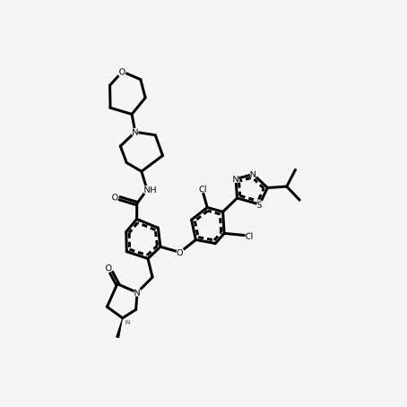 CC(C)c1nnc(-c2c(Cl)cc(Oc3cc(C(=O)NC4CCN(C5CCOCC5)CC4)ccc3CN3C[C@@H](C)CC3=O)cc2Cl)s1